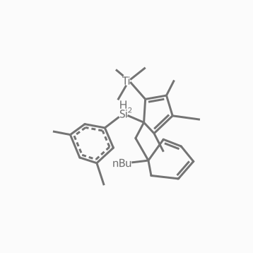 CCCCC1(CC2([SiH2]c3cc(C)cc(C)c3)C(C)=C(C)C(C)=[C]2[Ti]([CH3])([CH3])[CH3])C=CC=CC1